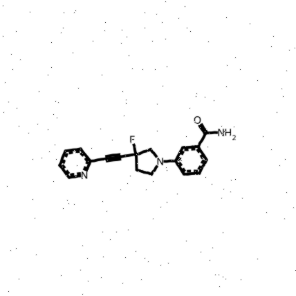 NC(=O)c1cccc(N2CCC(F)(C#Cc3ccccn3)C2)c1